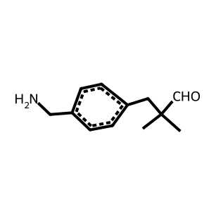 CC(C)(C=O)Cc1ccc(CN)cc1